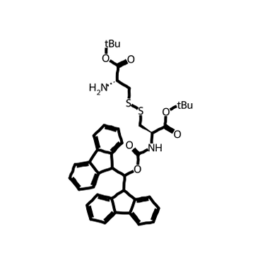 CC(C)(C)OC(=O)[C@H](CSSC[C@H](N)C(=O)OC(C)(C)C)NC(=O)OC(C1c2ccccc2-c2ccccc21)C1c2ccccc2-c2ccccc21